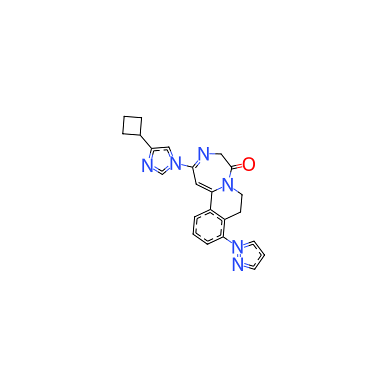 O=C1CN=C(n2cnc(C3CCC3)c2)C=C2c3cccc(-n4cccn4)c3CCN12